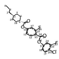 CCC[C@H]1CC[C@H](C(=O)Oc2ccc(C(=O)Oc3ccc(Cl)c(F)c3)c(F)c2)CC1